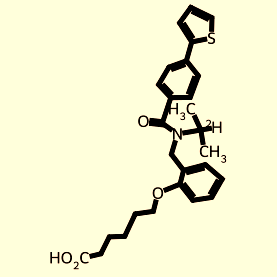 [2H]C(C)(C)N(Cc1ccccc1OCCCCCC(=O)O)C(=O)c1ccc(-c2cccs2)cc1